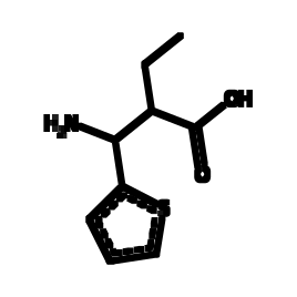 CCC(C(=O)O)C(N)c1cccs1